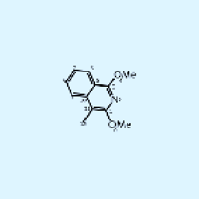 COc1nc(OC)c2ccccc2c1C